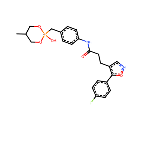 CC1CO[P](O)(Cc2ccc(NC(=O)CCc3cnoc3-c3ccc(F)cc3)cc2)OC1